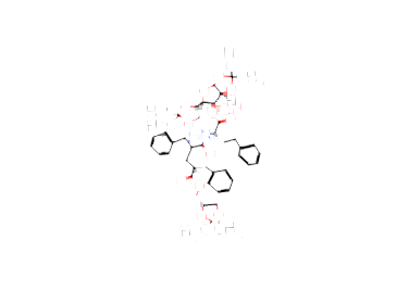 CC1(C)OC[C@@H](COC(=O)[C@H](Cc2ccccc2)CC(Cc2ccccc2)C(=O)N[C@@H](CCc2ccccc2)C(=O)O[C@@]2(O)[C@@H]([C@H]3COC(C)(C)O3)OC3OC(C)(C)O[C@@H]32)O1